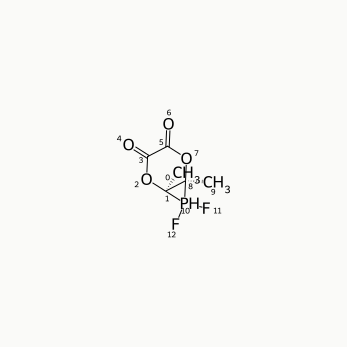 C[C@]12OC(=O)C(=O)O[C@@]1(C)[PH]2(F)F